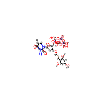 COc1cc(OC)c(CSCOC2C[C@H](n3cc(C)c(=O)[nH]c3=O)O[C@@H]2COP(=O)(O)OP(=O)(O)OP(=O)(O)O)c(OC)c1